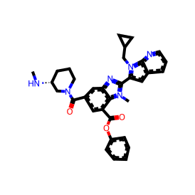 CN[C@@H]1CCCN(C(=O)c2cc(C(=O)Oc3ccccc3)c3c(c2)nc(-c2cc4cccnc4n2CC2CC2)n3C)C1